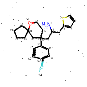 NC(Cc1cccs1)CC1(c2ccc(F)cc2)CCOC2(CCCC2)C1